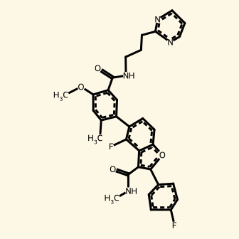 CNC(=O)c1c(-c2ccc(F)cc2)oc2ccc(-c3cc(C(=O)NCCCc4ncccn4)c(OC)cc3C)c(F)c12